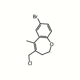 CC1=C(CCl)CCOc2ccc(Br)cc21